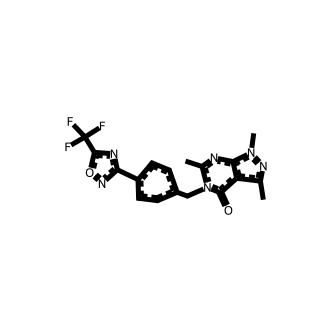 Cc1nn(C)c2nc(C)n(Cc3ccc(-c4noc(C(F)(F)F)n4)cc3)c(=O)c12